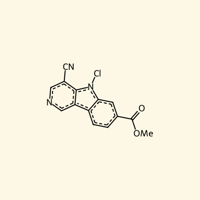 COC(=O)c1ccc2c3cncc(C#N)c3n(Cl)c2c1